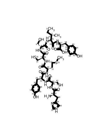 CC[C@H](C)[C@H](NC(=O)[C@@H](CO)NC(=O)[C@H](CS)NC(=O)[C@H](CCSC)NC(=O)[C@H](Cc1ccc(O)cc1)NC(=O)[C@H](CS)NC(=O)[C@@H](N)Cc1c[nH]cn1)C(=O)N[C@@H](Cc1ccc(O)cc1)C(=O)O